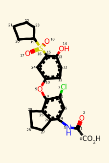 O=C(O)C(=O)Nc1cc(Cl)c(Oc2ccc(O)c(S(=O)(=O)C3CCCC3)c2)c2c1CCC2